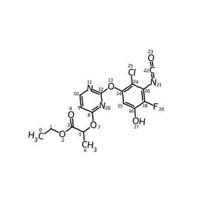 CCOC(=O)C(C)Oc1ccnc(Oc2cc(O)c(F)c(N=C=O)c2Cl)n1